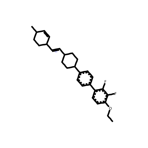 CCOc1ccc(-c2ccc(C3CCC(/C=C/C4C=CC(C)CC4)CC3)cc2)c(F)c1F